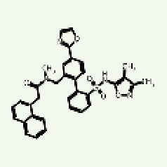 Cc1noc(NS(=O)(=O)c2ccccc2-c2ccc(-c3ncco3)cc2CN(C)C(=O)Cc2cccc3ccccc23)c1C